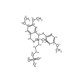 COc1ccc(CC2c3cc(OC)c(OC)cc3CC[N+]2(C)CCCOS(=O)(=O)[O-])cc1